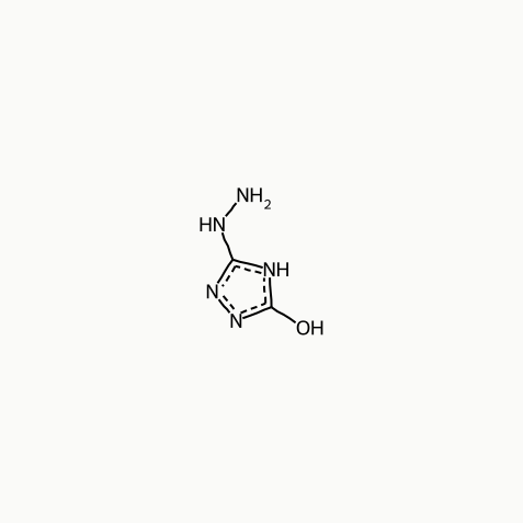 NNc1nnc(O)[nH]1